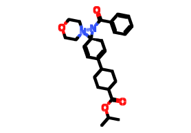 CC(C)OC(=O)C1CCC(C2=CC[C@]3(C=C2)N(C(=O)c2ccccc2)[N+]32CCOCC2)CC1